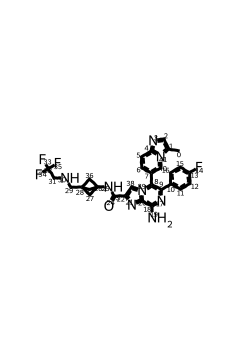 Cc1cnc2ccc(-c3c(-c4ccc(F)cc4)nc(N)c4nc(C(=O)NC56CC(CNCC(F)(F)F)(C5)C6)cn34)cn12